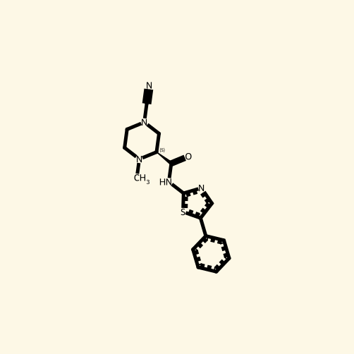 CN1CCN(C#N)C[C@H]1C(=O)Nc1ncc(-c2ccccc2)s1